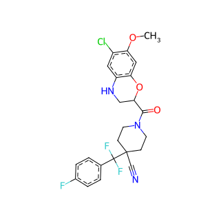 COc1cc2c(cc1Cl)NCC(C(=O)N1CCC(C#N)(C(F)(F)c3ccc(F)cc3)CC1)O2